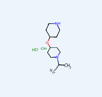 CC(C)N1CCC(OC2CCNCC2)CC1.Cl.Cl